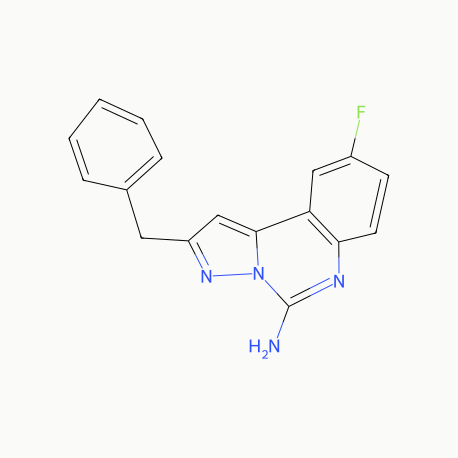 Nc1nc2ccc(F)cc2c2cc(Cc3ccccc3)nn12